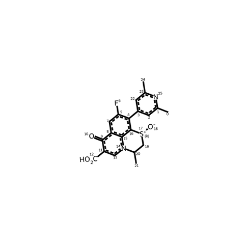 Cc1cc(-c2c(F)cc3c(=O)c(C(=O)O)cn4c3c2[S@@+]([O-])CC4C)cc(C)n1